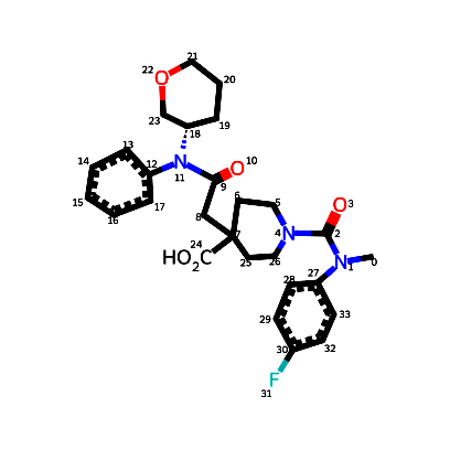 CN(C(=O)N1CCC(CC(=O)N(c2ccccc2)[C@H]2CCCOC2)(C(=O)O)CC1)c1ccc(F)cc1